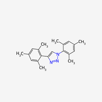 Cc1cc(C)c(-c2cn(-c3c(C)cc(C)cc3C)nn2)c(C)c1